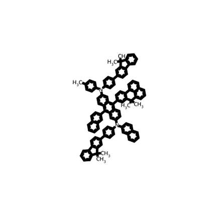 Cc1ccc(N(c2ccc(-c3ccc4c(c3)C(C)(C)c3ccccc3-4)cc2)c2ccc3c(-c4ccc5ccccc5c4)c4cc(N(c5ccc(-c6ccc7c(c6)C(C)(C)c6ccccc6-7)cc5)c5ccc6ccccc6c5)ccc4c(-c4ccc5c(c4)C(C)(C)c4cccc6cccc-5c46)c3c2)cc1